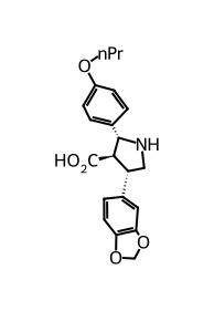 CCCOc1ccc([C@@H]2NC[C@H](c3ccc4c(c3)OCO4)[C@H]2C(=O)O)cc1